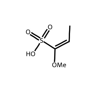 CC=C(OC)S(=O)(=O)O